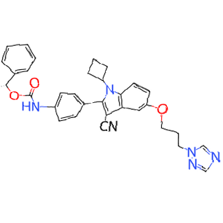 C[C@@H](OC(=O)Nc1ccc(-c2c(C#N)c3cc(OCCCn4cncn4)ccc3n2C2CCC2)cc1)c1ccccc1